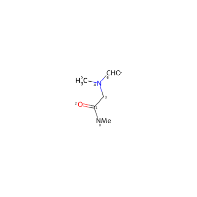 CNC(=O)CN(C)[C]=O